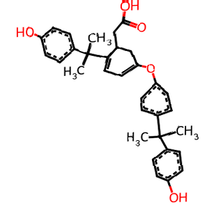 CC(C)(C1=CC=C(Oc2ccc(C(C)(C)c3ccc(O)cc3)cc2)CC1CC(=O)O)c1ccc(O)cc1